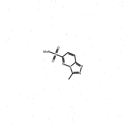 CNS(=O)(=O)c1ccc2nnc(C)n2n1